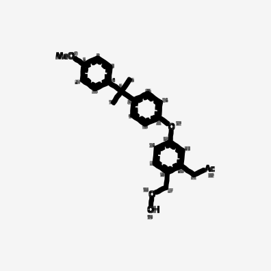 COc1ccc(C(C)(C)c2ccc(Oc3ccc(COO)c(CC(C)=O)c3)cc2)cc1